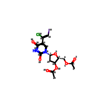 CC(=O)OC[C@H]1O[C@@H](n2cc(C(Cl)=CI)c(=O)[nH]c2=O)C[C@@H]1OC(C)=O